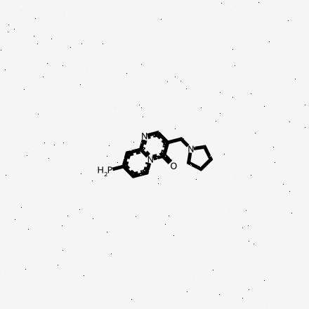 O=c1c(CN2CCCC2)cnc2cc(P)ccn12